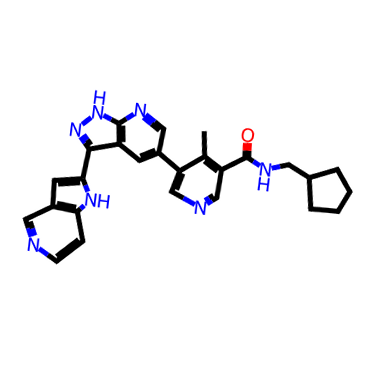 Cc1c(C(=O)NCC2CCCC2)cncc1-c1cnc2[nH]nc(-c3cc4cnccc4[nH]3)c2c1